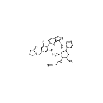 C[C@H]1CN(c2ccncc2Nc2ncc3ccc(-c4c(F)cc(CN5CCCC5=O)cc4F)nn23)C[C@@H](N)[C@H]1OCCC#N